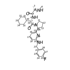 CN[C@@H](C)C(=O)N[C@H](C(=O)N1CCC[C@H]1c1cccc(NCc2ccc(F)cc2)n1)C1CCCCC1